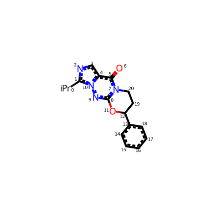 CC(C)c1ncc2c(=O)n3c(nn12)OC(c1ccccc1)CC3